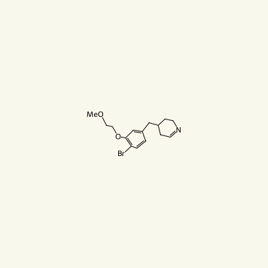 COCCOc1cc(CC2CC=NCC2)ccc1Br